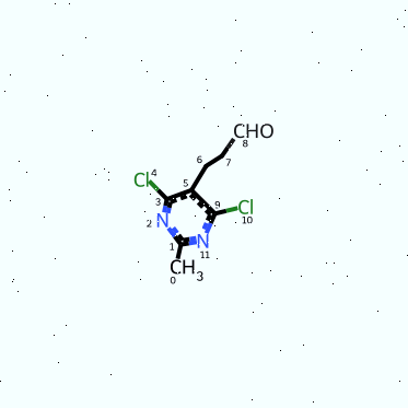 Cc1nc(Cl)c(CCC=O)c(Cl)n1